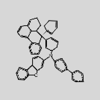 C1=CCCC([C@]2(C3=CC(N(C4=CC5Oc6ccccc6C5C=C4)c4ccc(-c5ccccc5)cc4)CC=C3)c3ccccc3C3=CC=CC4=CCCC2C43)=C1